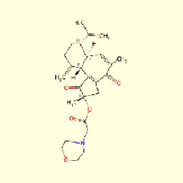 C=C1CC[C@H](C(=C)C)[C@H]2C=C(C)C(=O)C3=C(C(=O)[C@@](C)(OC(=O)CN4CCOCC4)C3)[C@H]12